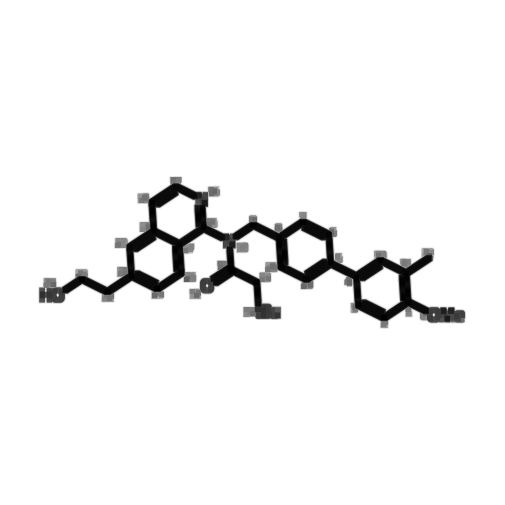 COc1ccc(-c2ccc(CN(C(=O)CC(C)(C)C)c3nccc4cc(CCO)ccc34)cc2)cc1C